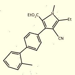 CCOC(=O)c1c(-c2ccc(-c3ccccc3C)cc2)c(C#N)c(CC)n1C